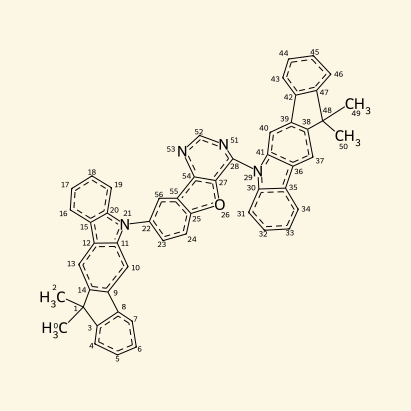 CC1(C)c2ccccc2-c2cc3c(cc21)c1ccccc1n3-c1ccc2oc3c(-n4c5ccccc5c5cc6c(cc54)-c4ccccc4C6(C)C)ncnc3c2c1